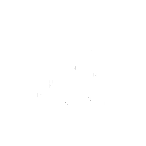 CCCn1cnc(NCC)c2nc(C3CC3)nc1-2